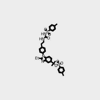 CCc1nc2cc(C(C)(C)OS(=O)(=O)c3ccc(C)cc3)ccc2n1-c1ccc(CCNC(=O)NS(=O)(=O)c2ccc(C)cc2)cc1